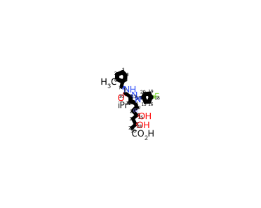 Cc1ccccc1CNC(=O)c1nn(-c2ccc(F)cc2)c(/C=C/C(O)CC(O)CC(=O)O)c1C(C)C